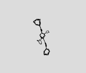 COc1cc(C#Cc2ccccc2)c(OC)cc1C#Cc1ccccc1